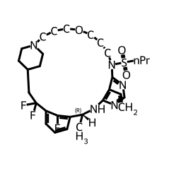 C=Cc1c2ncnc1N(S(=O)(=O)CCC)CCCOCCCN1CCC(CC1)CC(F)(F)c1cccc(c1F)[C@@H](C)N2